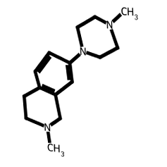 CN1CCN(c2ccc3c(c2)CN(C)CC3)CC1